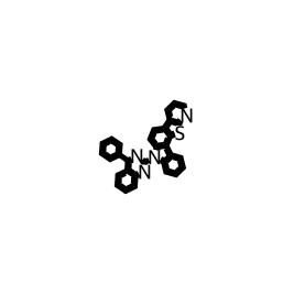 c1ccc(-c2nc(-n3c4ccccc4c4c5sc6ncccc6c5ccc43)nc3ccccc23)cc1